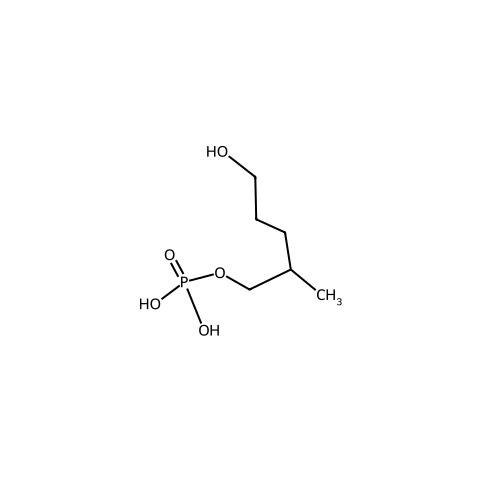 CC(CCCO)COP(=O)(O)O